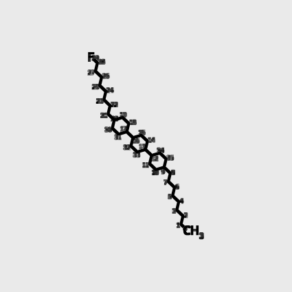 CCCCCCCCCC1CCC(C2CCC(C3CCC(CCCCCCCCF)CC3)CC2)CC1